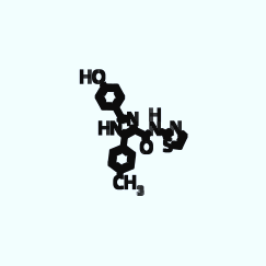 Cc1ccc(-c2[nH]c(-c3ccc(O)cc3)nc2C(=O)Nc2nccs2)cc1